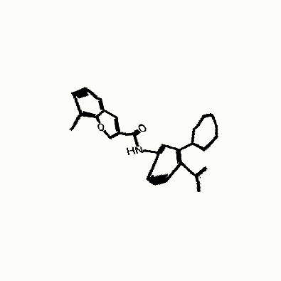 C[C](C)c1ccc(NC(=O)C2=Cc3cccc(C)c3OC2)cc1C1CCCCC1